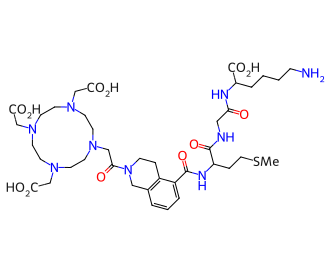 CSCCC(NC(=O)c1cccc2c1CCN(C(=O)CN1CCN(CC(=O)O)CCN(CC(=O)O)CCN(CC(=O)O)CC1)C2)C(=O)NCC(=O)NC(CCCCN)C(=O)O